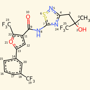 CC(O)(Cc1nsc(NC(=O)c2cc(-c3cccc(C(F)(F)F)c3)oc2C(F)(F)F)n1)C(F)(F)F